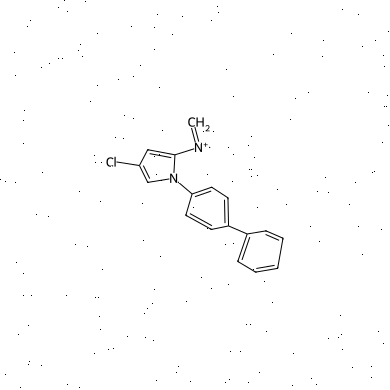 C=[N+]c1cc(Cl)cn1-c1ccc(-c2ccccc2)cc1